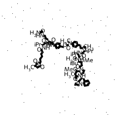 CC[C@H](C)[C@@H]([C@@H](CC(=O)N1CCC[C@H]1[C@H](OC)[C@@H](C)C(=O)N[C@@H](Cc1ccccc1)c1nccs1)OC)N(C)C(=O)[C@@H](NC(=O)[C@H](C(C)C)N(C)CCc1ccc(N(C)C(=O)OCc2ccc(NC(=O)[C@H](CCCNC(N)=O)NC(=O)[C@@H](NC(=O)CCCCCN3C(=O)CC(C)C3=O)C(C)C)cc2)cc1)C(C)C